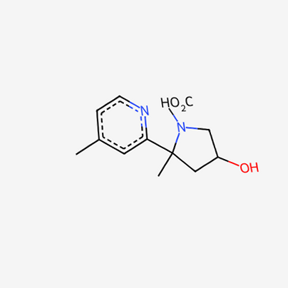 Cc1ccnc(C2(C)CC(O)CN2C(=O)O)c1